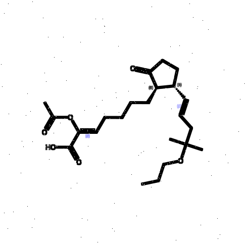 CCCOC(C)(C)C/C=C/[C@H]1CCC(=O)[C@@H]1CCCC/C=C(\OC(C)=O)C(=O)O